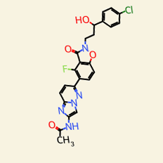 CC(=O)Nc1cn2nc(-c3ccc4on(CCC(O)c5ccc(Cl)cc5)c(=O)c4c3F)ccc2n1